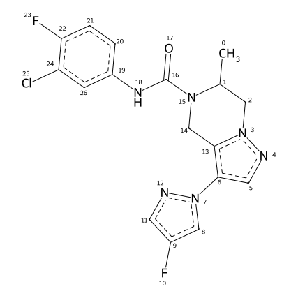 CC1Cn2ncc(-n3cc(F)cn3)c2CN1C(=O)Nc1ccc(F)c(Cl)c1